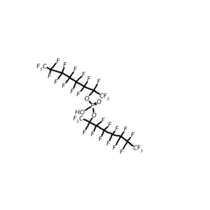 O=P(O)(OC(F)(C(F)(F)F)C(F)(F)C(F)(F)C(F)(F)C(F)(F)C(F)(F)C(F)(F)F)OC(F)(C(F)(F)F)C(F)(F)C(F)(F)C(F)(F)C(F)(F)C(F)(F)C(F)(F)F